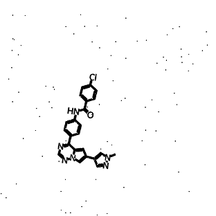 Cn1cc(-c2cc3c(-c4ccc(NC(=O)c5ccc(Cl)cc5)cc4)ncnn3c2)cn1